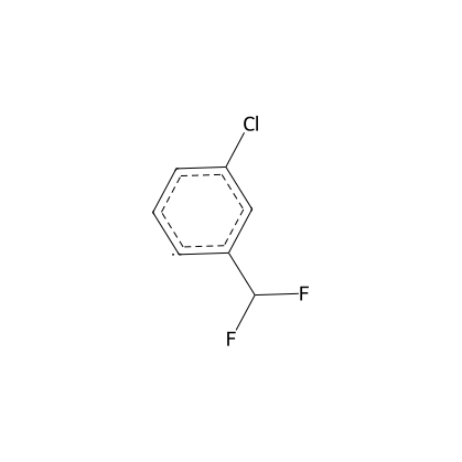 FC(F)c1[c]ccc(Cl)c1